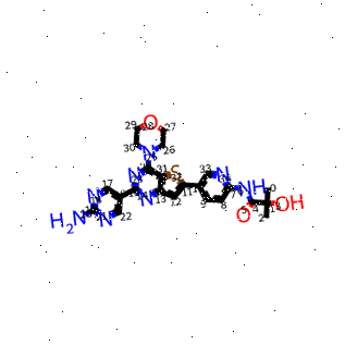 CC(C)(O)C(=O)Nc1ccc(-c2cc3nc(-c4cnc(N)nc4)nc(N4CCOCC4)c3s2)cn1